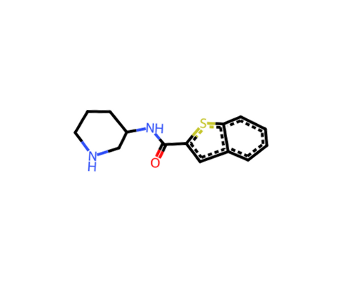 O=C(NC1CCCNC1)c1cc2ccccc2s1